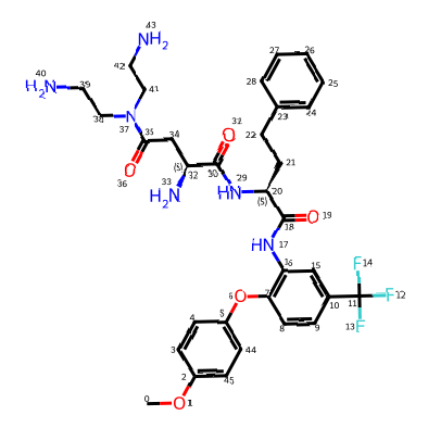 COc1ccc(Oc2ccc(C(F)(F)F)cc2NC(=O)[C@H](CCc2ccccc2)NC(=O)[C@@H](N)CC(=O)N(CCN)CCN)cc1